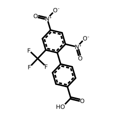 O=C(O)c1ccc(-c2c([N+](=O)[O-])cc([N+](=O)[O-])cc2C(F)(F)F)cc1